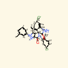 Cc1cccc(-n2nc3c(c2C(C)C)C2(C(=O)NC4=CC(Cl)CC=C42)N(c2cc(Cl)ccc2C)C3=O)c1